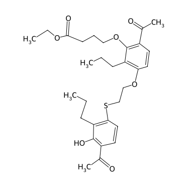 CCCc1c(SCCOc2ccc(C(C)=O)c(OCCCC(=O)OCC)c2CCC)ccc(C(C)=O)c1O